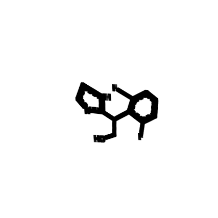 OCC(c1ncc[nH]1)c1c(F)cccc1F